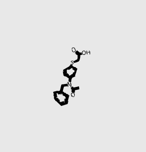 CC(=O)N(Cc1ccccc1)c1ccc(SCC(=O)O)cc1